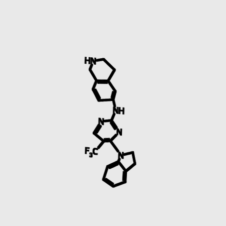 FC(F)(F)c1cnc(Nc2ccc3c(c2)CCNC3)nc1N1CCc2ccccc21